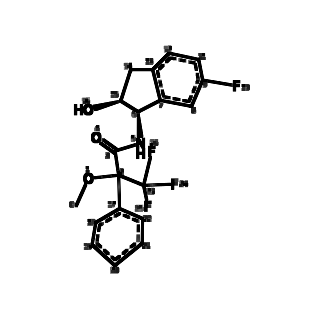 COC(C(=O)N[C@@H]1c2cc(F)ccc2C[C@@H]1O)(c1ccccc1)C(F)(F)F